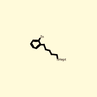 CCCCCCCCCCCCc1cccc[c]1[Zn]